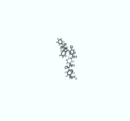 CCc1cnc(N[C@@H]2CCC[C@H](NC(=O)c3ccc(N)cn3)C2)nc1-c1cn(S(=O)(=O)c2ccccc2)c2ccccc12